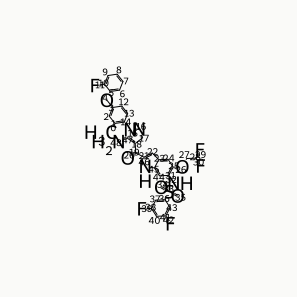 Cc1cc(Oc2ccccc2F)ccc1-n1ncc(C(=O)c2cc3cc(OCC(F)F)c(NS(=O)(=O)c4cc(F)cc(F)c4)cc3[nH]2)c1N